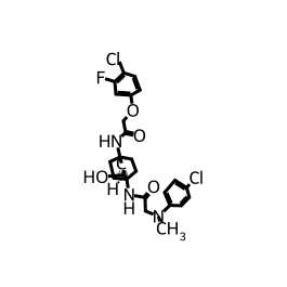 CN(CC(=O)NC12CCC(NC(=O)COc3ccc(Cl)c(F)c3)(CC1)C[C@@H]2O)c1ccc(Cl)cc1